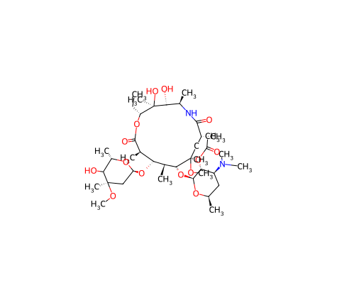 CC[C@H]1OC(=O)[C@H](C)[C@@H](O[C@H]2C[C@@](C)(OC)C(O)[C@H](C)O2)[C@H](C)[C@@H](O[C@@H]2O[C@H](C)C[C@H](N(C)C)[C@H]2OC(C)=O)[C@](C)(OC)C[C@@H](C)C(=O)N[C@H](C)[C@@H](O)[C@]1(C)O